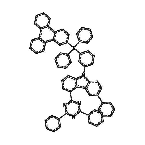 c1ccc(-c2ccc3c(c2)c2c(-c4nc(-c5ccccc5)nc(-c5ccccc5)n4)cccc2n3-c2cccc(S(c3ccccc3)(c3ccccc3)c3ccc4c5ccccc5c5ccccc5c4c3)c2)cc1